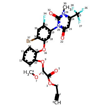 C#CCOC(=O)[C@H](OC)Oc1ccccc1Oc1cc(-n2c(=O)cc(C(F)(F)F)n(C)c2=O)c(F)cc1Br